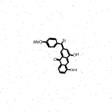 CCC(c1ccc(OC)cc1)=c1cc(O)c2c(c1)C(=O)c1cccc(O)c1C=2